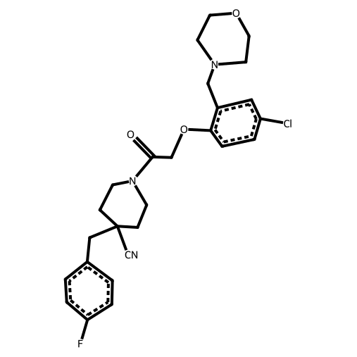 N#CC1(Cc2ccc(F)cc2)CCN(C(=O)COc2ccc(Cl)cc2CN2CCOCC2)CC1